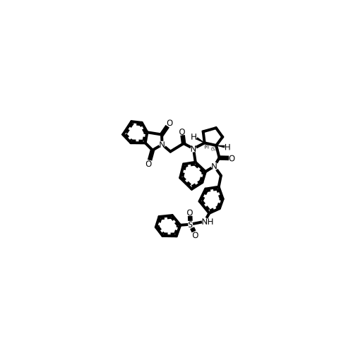 O=C1c2ccccc2C(=O)N1CC(=O)N1c2ccccc2N(Cc2ccc(NS(=O)(=O)c3ccccc3)cc2)C(=O)[C@H]2CCC[C@H]21